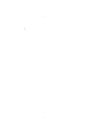 CC(C)CC(NC(=O)OCC1c2ccccc2-c2ccccc21)C(=O)NC(C)C(=O)OCc1ccc(OCCCC[N+](C)(C)C)cc1